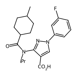 CC1CCC(C(=O)N(c2nn(-c3cccc(F)c3)cc2C(=O)O)C(C)C)CC1